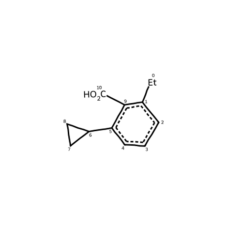 CCc1cccc(C2CC2)c1C(=O)O